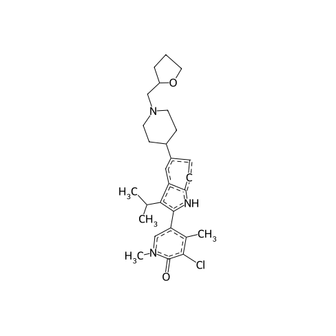 Cc1c(-c2[nH]c3ccc(C4CCN(CC5CCCO5)CC4)cc3c2C(C)C)cn(C)c(=O)c1Cl